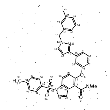 CNC(=O)c1c(Oc2cccc(-c3ccn(Cc4cccc(I)c4)n3)c2)ccc2c1ccn2S(=O)(=O)c1ccc(C)cc1